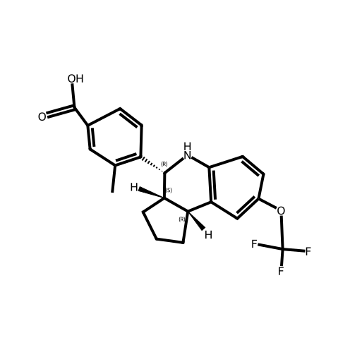 Cc1cc(C(=O)O)ccc1[C@@H]1Nc2ccc(OC(F)(F)F)cc2[C@@H]2CCC[C@@H]21